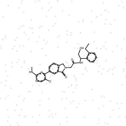 CCc1ccccc1C(CO)NC(=O)CN1Cc2ccc(-c3nc(NC)ncc3Cl)cc2C1=O